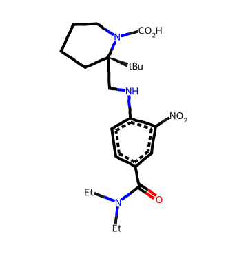 CCN(CC)C(=O)c1ccc(NC[C@]2(C(C)(C)C)CCCCN2C(=O)O)c([N+](=O)[O-])c1